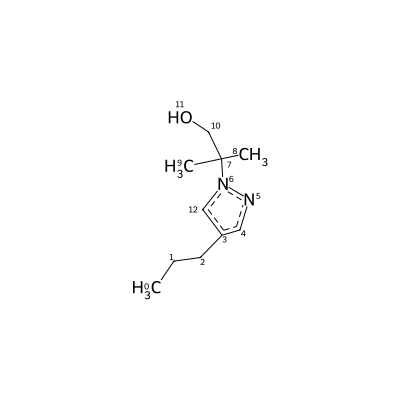 CCCc1cnn(C(C)(C)CO)c1